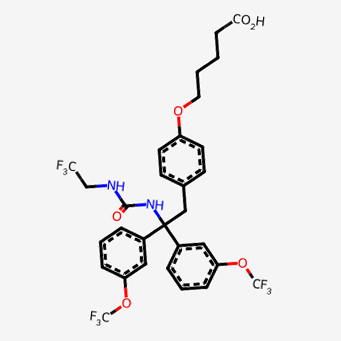 O=C(O)CCCCOc1ccc(CC(NC(=O)NCC(F)(F)F)(c2cccc(OC(F)(F)F)c2)c2cccc(OC(F)(F)F)c2)cc1